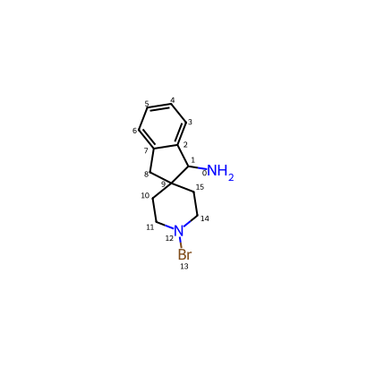 NC1c2ccccc2CC12CCN(Br)CC2